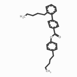 CCCCCc1ccc(OC(=O)c2ccc(-c3ccccc3CCCCC)cc2)cc1